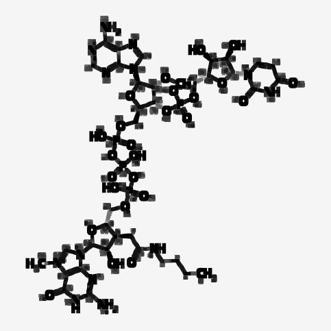 CCCCNC(=O)C[C@@H]1[C@@H](COP(=O)(O)OP(=O)(O)OP(=O)(O)OC[C@H]2O[C@@H](n3cnc4c(N)ncnc43)[C@H](OC)[C@@H]2OP(=O)([O-])OC[C@H]2O[C@@H](n3ccc(=O)[nH]c3=O)[C@H](O)[C@@H]2O)OC(n2c[n+](C)c3c(=O)[nH]c(N)nc32)[C@@H]1O